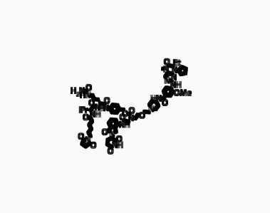 CC[C@@H]1C(=O)N(C)c2cnc(Nc3ccc(C(=O)NC4CCN(CCOCCN(CC(=O)Nc5cccc6c5CN(C5CCC(=O)NC5=O)C6=O)C(=O)OCc5ccc(NC(=O)[C@H](CCCNC(N)=O)NC(=O)[C@@H](NC(=O)CCCCCN6C(=O)C=CC6=O)C(C)C)cc5)CC4)cc3OC)nc2N1C1CCCC1